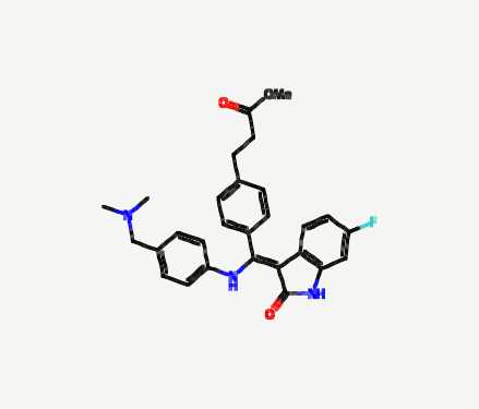 COC(=O)CCc1ccc(/C(Nc2ccc(CN(C)C)cc2)=C2/C(=O)Nc3cc(F)ccc32)cc1